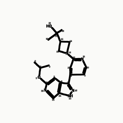 CC(C)Oc1cc2c(-c3ccnc(N4CC(C(C)(C)O)C4)c3)n[nH]c2cn1